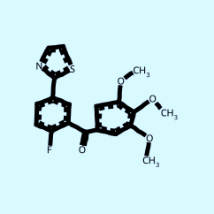 COc1cc(C(=O)c2cc(-c3nccs3)ccc2F)cc(OC)c1OC